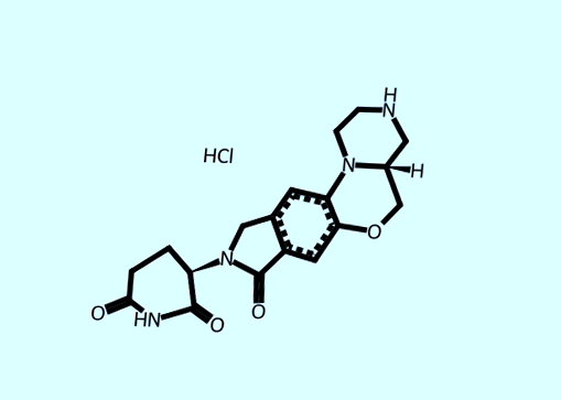 Cl.O=C1CC[C@@H](N2Cc3cc4c(cc3C2=O)OC[C@H]2CNCCN42)C(=O)N1